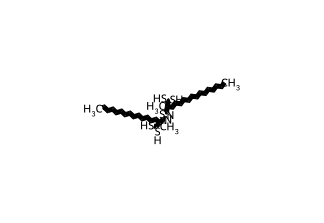 CCCCCCCCCCCCCCC(C)(c1nnc(C(C)(CCCCCCCCCCCCCC)C(S)S)s1)C(S)S